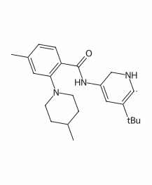 Cc1ccc(C(=O)NC2=CC(C(C)(C)C)=[C]NC2)c(N2CCC(C)CC2)c1